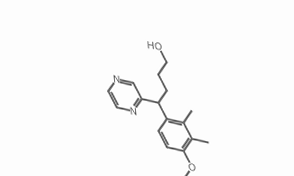 COc1ccc(C(CCCO)c2cnccn2)c(C)c1C